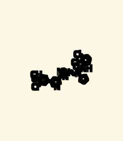 COc1ccc(-c2cncc(-c3ncn(CCN(C(=O)Nc4cccc(Cl)c4Cl)C4CCCC4)n3)c2)cc1Cl